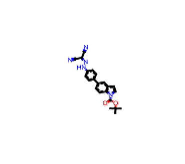 CC(C)(C)OC(=O)n1ccc2cc(-c3ccc(NN=C(C#N)C#N)cc3)ccc21